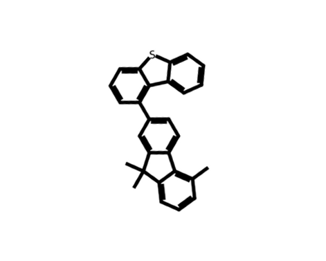 Cc1cccc2c1-c1ccc(-c3cccc4sc5ccccc5c34)cc1C2(C)C